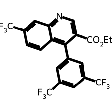 CCOC(=O)c1cnc2cc(C(F)(F)F)ccc2c1-c1cc(C(F)(F)F)cc(C(F)(F)F)c1